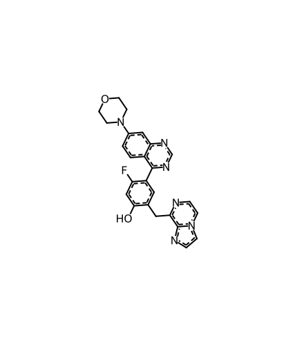 Oc1cc(F)c(-c2ncnc3cc(N4CCOCC4)ccc23)cc1Cc1nccn2ccnc12